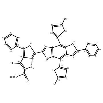 CCCCCCC(=O)c1sc2c(-c3cc4c(C5=CC=C(C)C5)c5sc(-c6ccccc6)cc5c(C5=CC=C(C)C5)c4s3)sc(-c3ccccc3)c2c1F